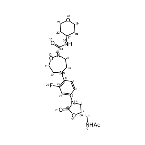 CC(=O)NC[C@H]1CN(c2ccc(N3CCON(C(=O)NC4CCOCC4)CC3)c(F)c2)C(=O)O1